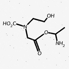 CC(N)OC(=O)CN(CCO)C(=O)O